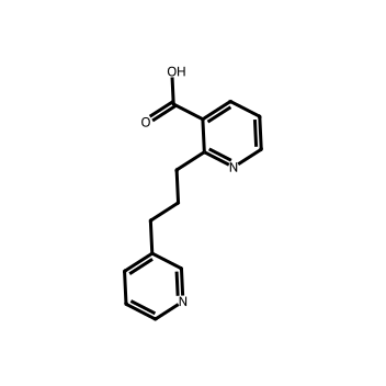 O=C(O)c1cccnc1CCCc1cccnc1